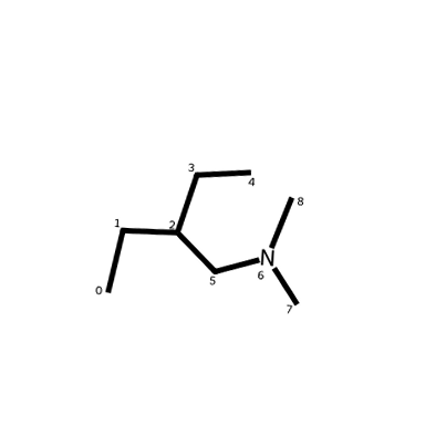 CCC(CC)CN(C)C